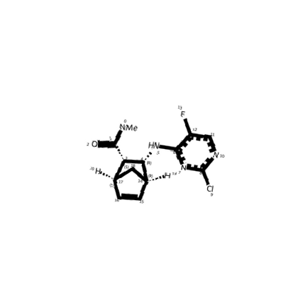 CNC(=O)[C@@H]1[C@H](Nc2nc(Cl)ncc2F)[C@H]2C=C[C@@H]1C2